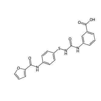 O=C(NSc1ccc(NC(=O)c2ccco2)cc1)Nc1cccc(C(=O)O)c1